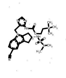 CN(C)S(=O)(=O)N[C@@H]1Cc2c(n(Cc3scnc3NC(=O)OCC[Si](C)(C)C)c3ccc(C#N)cc23)C1